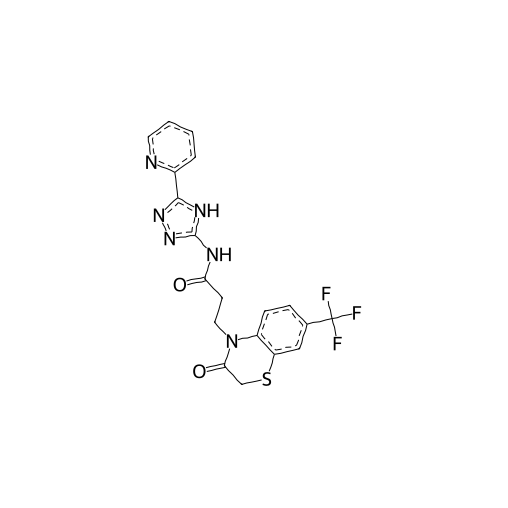 O=C(CCN1C(=O)CSc2cc(C(F)(F)F)ccc21)Nc1nnc(-c2ccccn2)[nH]1